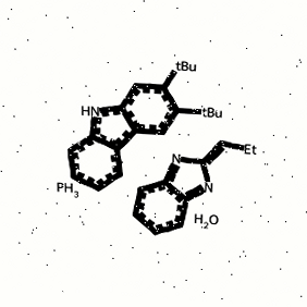 CC(C)(C)c1cc2[nH]c3ccccc3c2cc1C(C)(C)C.CCC=C1N=c2ccccc2=N1.O.P